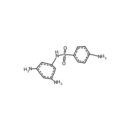 Nc1ccc(S(=O)(=O)Nc2cc(N)cc(N)c2)cc1